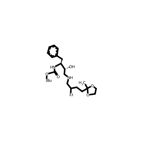 CCC(CCC1(C)OCCO1)CNC[C@@H](O)[C@H](Cc1ccccc1)NC(=O)OC(C)(C)C